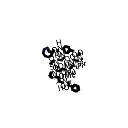 CC[C@H](C)[C@@H]([C@@H](CC(=O)N1CCC[C@H]1[C@H](OC)[C@@H](C)C(=O)N[C@H](C)[C@@H](O)c1ccccc1)OC)N(C)C(=O)[C@@H](NC(=O)[C@H](C(C)C)N(C)C(=O)OCc1ccc(NC(=O)OC2/C=C/CCCCC2)c(NC(=O)CCNC(=O)CS)c1)C(C)C